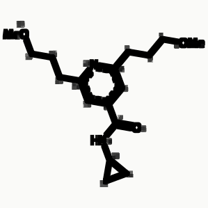 COCCCc1cc(C(=O)NC2CC2)cc(CCCOC)n1